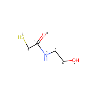 O=C(CS)NCCO